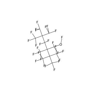 FOC(F)(F)C(C(F)(F)F)(C(F)(F)C(C(F)(F)F)(C(F)(F)F)C(F)(F)F)C(C(F)(F)F)(C(F)(F)F)C(F)(F)F